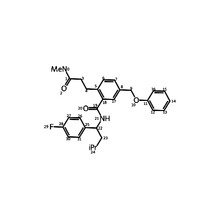 CNC(=O)CCc1ccc(COc2ccccc2)cc1C(=O)NC(CC(C)C)c1ccc(F)cc1